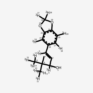 [2H]/C(=C\C([2H])(O)C(C)(C([2H])([2H])[2H])C([2H])([2H])[2H])c1c([2H])c([2H])c2c(c1[2H])OC([2H])([2H])O2